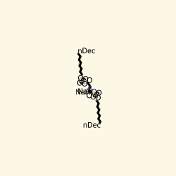 CCCCCCCCCCCCCCCCCCOS(=O)(=O)OC(=O)/C=C/C(=O)OS(=O)(=O)OCCCCCCCCCCCCCCCCCC.[NaH].[NaH]